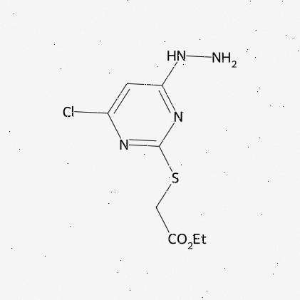 CCOC(=O)CSc1nc(Cl)cc(NN)n1